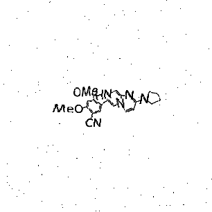 COc1cc(OC)c(C2=CN3C=CC(N4CCCC4)=NC3=CN2)cc1C#N